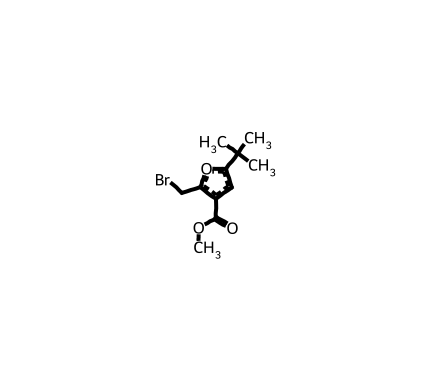 COC(=O)c1cc(C(C)(C)C)oc1CBr